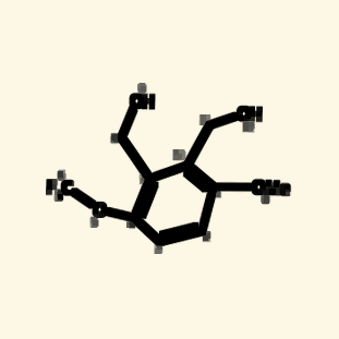 COc1ccc(OC(F)(F)F)c(CO)c1CO